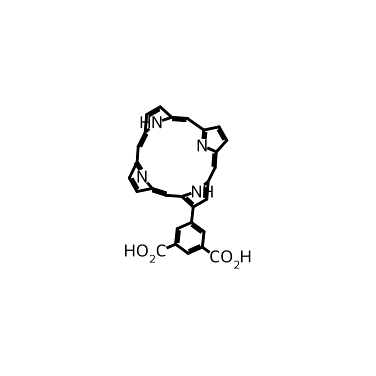 O=C(O)c1cc(C(=O)O)cc(-c2cc3cc4nc(cc5ccc(cc6nc(cc2[nH]3)C=C6)[nH]5)C=C4)c1